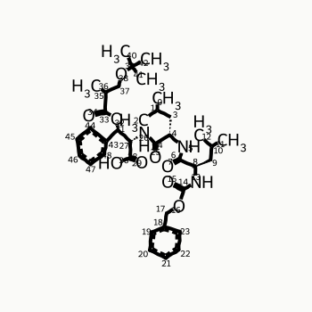 CC(C)C[C@H](NC(=O)[C@@H](CC(C)C)NC(=O)OCc1ccccc1)C(=O)N[C@H](C(=O)O)[C@H](OC(=O)C(C)COC(C)(C)C)c1ccccc1